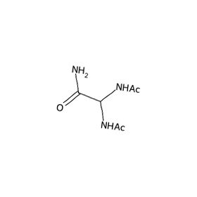 CC(=O)NC(NC(C)=O)C(N)=O